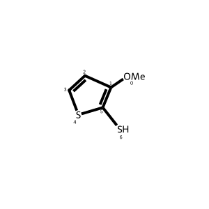 COc1ccsc1S